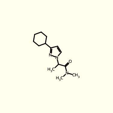 CC(C(=O)N(C)C)n1ccc(C2CCCCC2)n1